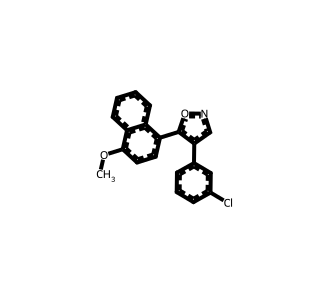 COc1ccc(-c2oncc2-c2cccc(Cl)c2)c2ccccc12